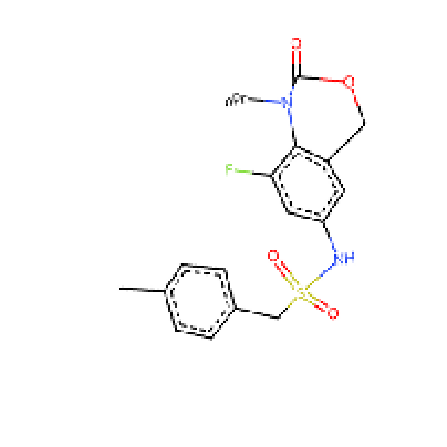 CCCN1C(=O)OCc2cc(NS(=O)(=O)Cc3ccc(C)cc3)cc(F)c21